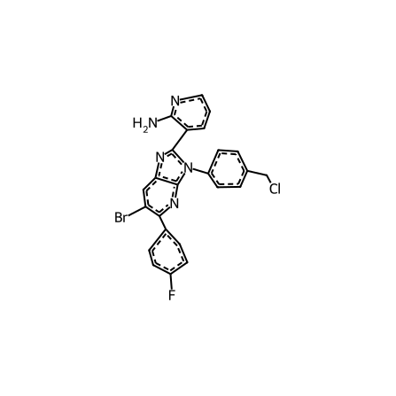 Nc1ncccc1-c1nc2cc(Br)c(-c3ccc(F)cc3)nc2n1-c1ccc(CCl)cc1